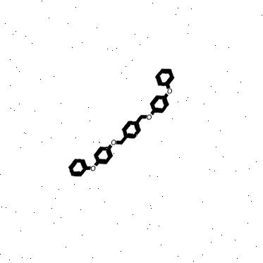 c1ccc(Oc2ccc(OCc3ccc(COc4ccc(Oc5ccccc5)cc4)cc3)cc2)cc1